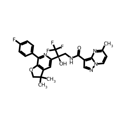 Cc1ccn2ncc(C(=O)NC[C@](O)(c3cc4c(c(-c5ccc(F)cc5)n3)OCC4(C)C)C(F)(F)F)c2n1